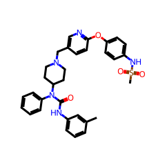 Cc1cccc(NC(=O)N(c2ccccc2)C2CCN(Cc3ccc(Oc4ccc(NS(C)(=O)=O)cc4)nc3)CC2)c1